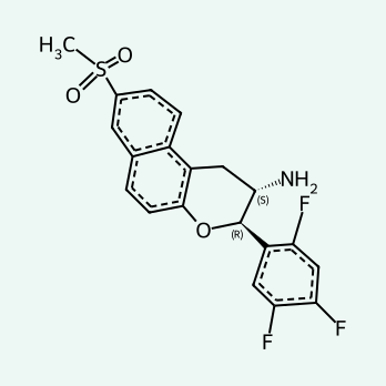 CS(=O)(=O)c1ccc2c3c(ccc2c1)O[C@H](c1cc(F)c(F)cc1F)[C@@H](N)C3